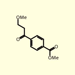 COCCC(=O)c1ccc(C(=O)OC)cc1